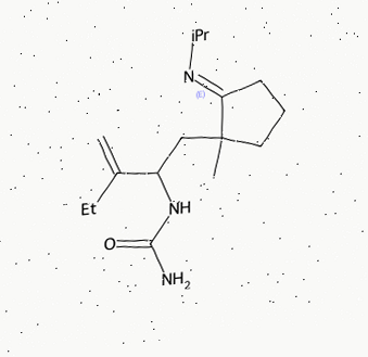 C=C(CC)C(CC1(C)CCC/C1=N\C(C)C)NC(N)=O